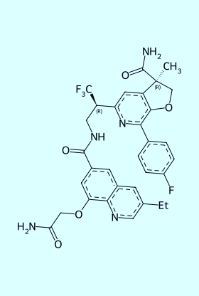 CCc1cnc2c(OCC(N)=O)cc(C(=O)NC[C@H](c3cc4c(c(-c5ccc(F)cc5)n3)OC[C@]4(C)C(N)=O)C(F)(F)F)cc2c1